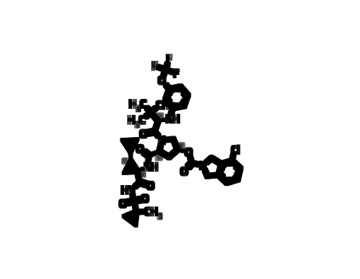 CC(C)(C)[C@H](Nc1cccc(OC(F)(F)F)c1)C(=O)N1C[C@H](OC(=O)N2Cc3cccc(Cl)c3C2)C[C@H]1C(=O)N[C@]1(C(=O)NS(=O)(=O)C2(C)CC2)C[C@H]1C1CC1